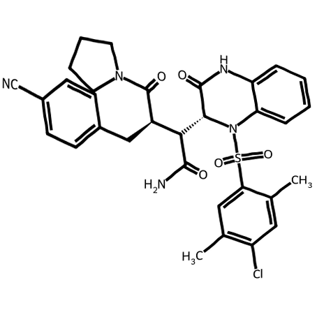 Cc1cc(S(=O)(=O)N2c3ccccc3NC(=O)[C@H]2C(C(N)=O)[C@@H](Cc2ccc(C#N)cc2)C(=O)N2CCCC2)c(C)cc1Cl